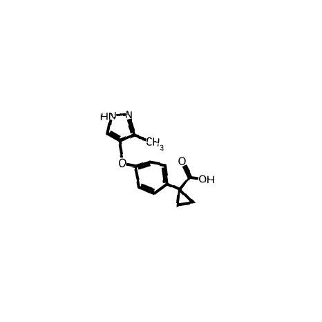 Cc1n[nH]cc1Oc1ccc(C2(C(=O)O)CC2)cc1